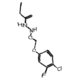 C=C(CC)NNOCOc1ccc(Cl)c(F)c1